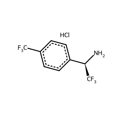 Cl.N[C@H](c1ccc(C(F)(F)F)cc1)C(F)(F)F